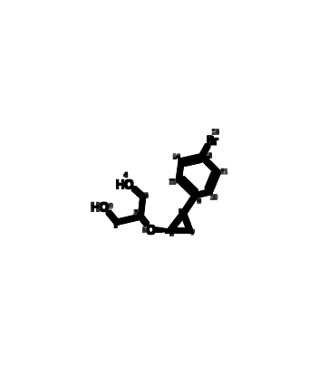 OCC(CO)O[C@@H]1CC1c1ccc(Br)cc1